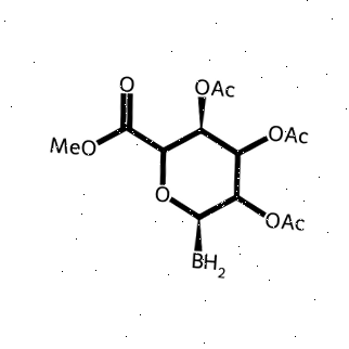 B[C@H]1OC(C(=O)OC)[C@@H](OC(C)=O)C(OC(C)=O)C1OC(C)=O